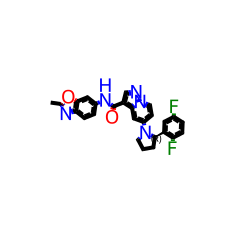 Cc1nc2ccc(NC(=O)c3cnn4ccc(N5CCC[C@@H]5c5cc(F)ccc5F)cc34)cc2o1